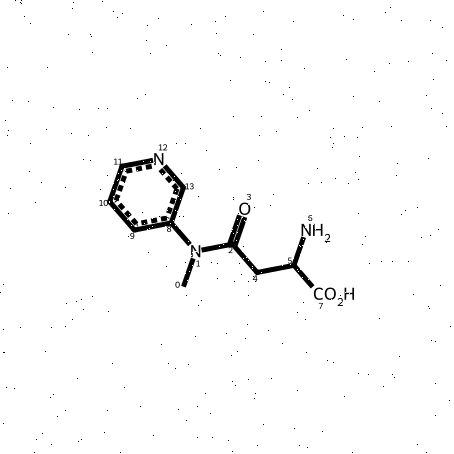 CN(C(=O)CC(N)C(=O)O)c1cccnc1